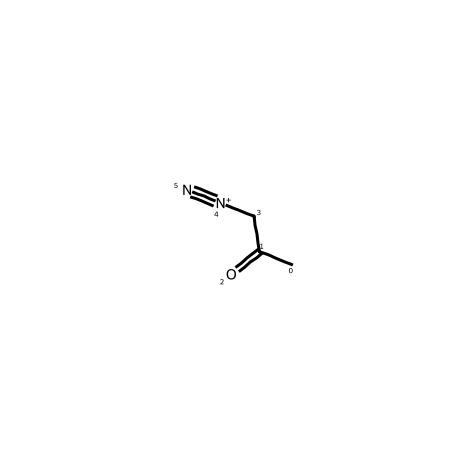 CC(=O)C[N+]#N